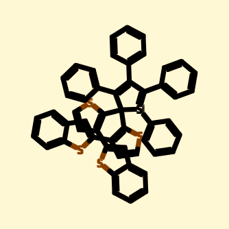 c1ccc(C2=C(c3ccccc3)C(c3sccc3-c3cc4ccccc4s3)(c3sccc3-c3cc4ccccc4s3)[Si](c3ccccc3)=C2c2ccccc2)cc1